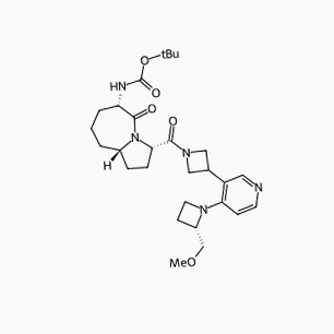 COC[C@@H]1CCN1c1ccncc1C1CN(C(=O)[C@@H]2CC[C@@H]3CCC[C@H](NC(=O)OC(C)(C)C)C(=O)N32)C1